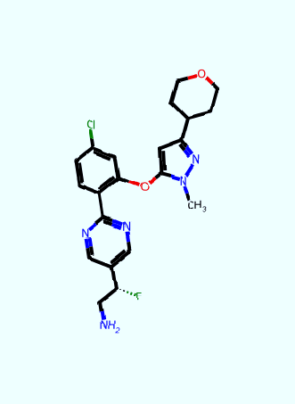 Cn1nc(C2CCOCC2)cc1Oc1cc(Cl)ccc1-c1ncc([C@H](F)CN)cn1